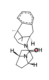 CC1(C)[C@H]2Cc3ccccc3[C@]1(C)CCN2C(=O)N1[C@@H]2CC[C@H]1C[C@](C)(O)C2